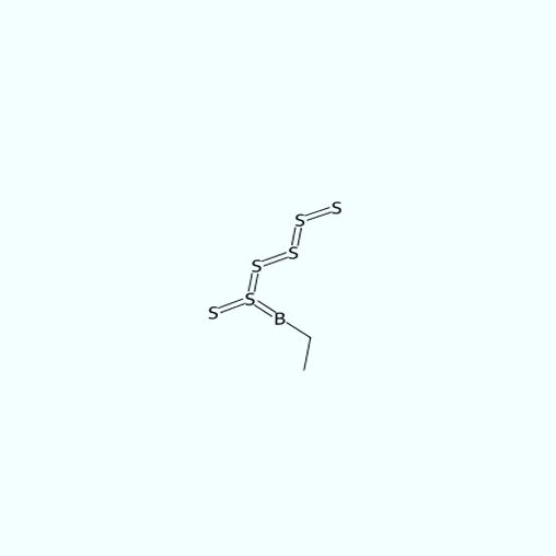 CCB=S(=S)=S=S=S=S